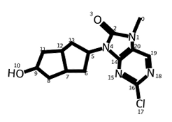 Cn1c(=O)n(C2CC3CC(O)CC3C2)c2nc(Cl)ncc21